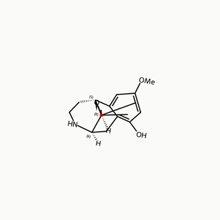 COc1cc(O)c2c(c1)[C@]13CCN[C@H](C2)[C@@H]1CC(C)(C)OC3